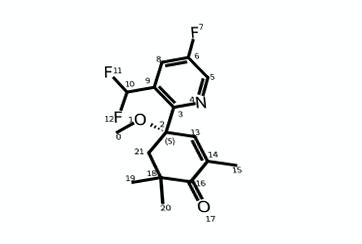 CO[C@]1(c2ncc(F)cc2C(F)F)C=C(C)C(=O)C(C)(C)C1